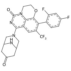 O=C1CC2CN(c3nc(=O)n4c5c(c(-c6ccc(F)cc6F)c(C(F)(F)F)cc35)OCC4)CC(C1)N2